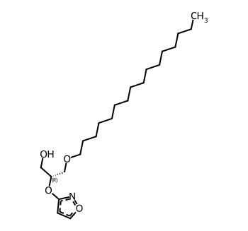 CCCCCCCCCCCCCCCCOC[C@@H](CO)Oc1ccon1